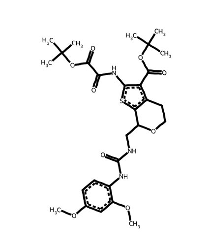 COc1ccc(NC(=O)NCC2OCCc3c2sc(NC(=O)C(=O)OC(C)(C)C)c3C(=O)OC(C)(C)C)c(OC)c1